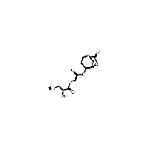 CC(C)(C)CC(C(=O)OCC(=O)OC1CCC2CC1OC2=O)C(C)(C)C